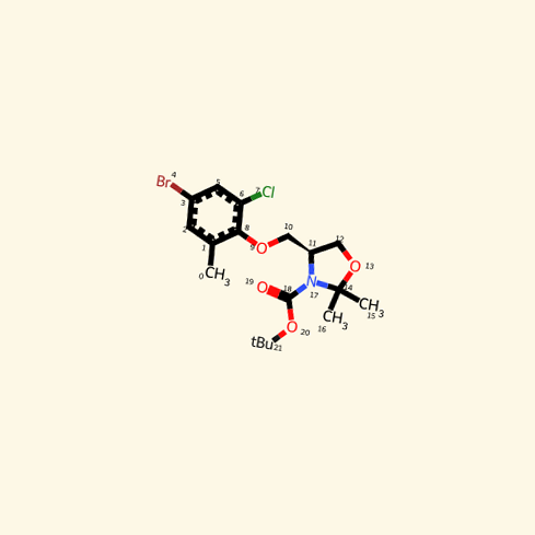 Cc1cc(Br)cc(Cl)c1OC[C@H]1COC(C)(C)N1C(=O)OC(C)(C)C